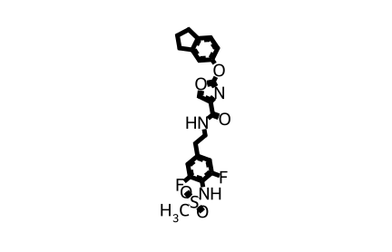 CS(=O)(=O)Nc1c(F)cc(CCNC(=O)c2coc(Oc3ccc4c(c3)CCC4)n2)cc1F